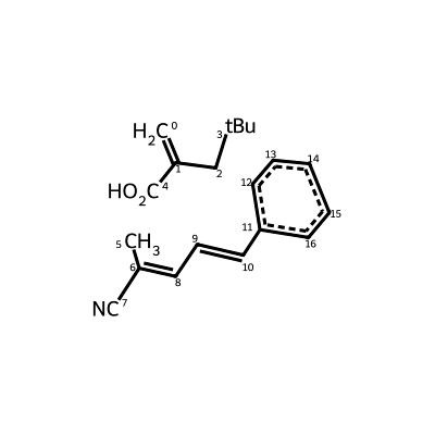 C=C(CC(C)(C)C)C(=O)O.CC(C#N)=CC=Cc1ccccc1